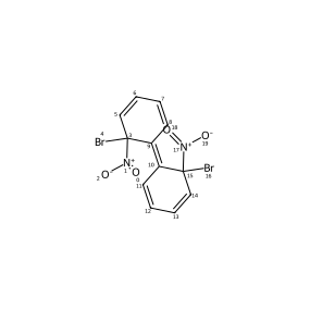 O=[N+]([O-])C1(Br)C=CC=C/C1=C1/C=CC=CC1(Br)[N+](=O)[O-]